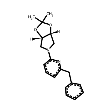 CC1(C)O[C@H]2CN(c3cccc(Cc4ccccc4)n3)C[C@H]2O1